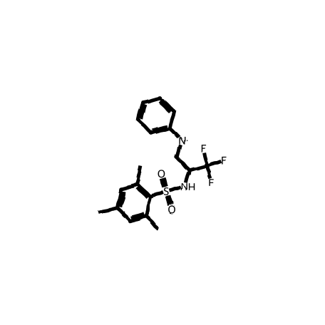 Cc1cc(C)c(S(=O)(=O)NC(C[N]c2ccccc2)C(F)(F)F)c(C)c1